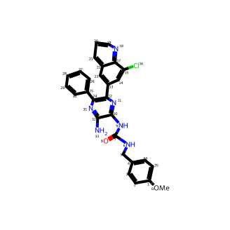 COc1ccc(CNC(=O)Nc2nc(-c3cc(Cl)c4ncccc4c3)c(-c3ccccc3)nc2N)cc1